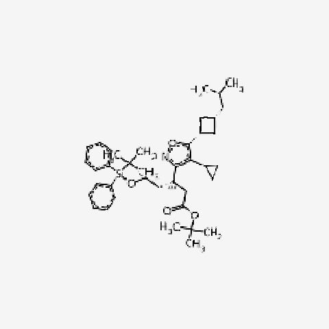 CC(C)C[C@H]1C[C@@H](c2onc([C@@H](CCO[Si](c3ccccc3)(c3ccccc3)C(C)(C)C)CC(=O)OC(C)(C)C)c2C2CC2)C1